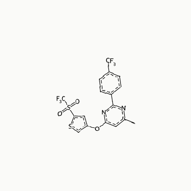 Cc1cc(Oc2csc(S(=O)(=O)C(F)(F)F)c2)nc(-c2ccc(C(F)(F)F)cc2)n1